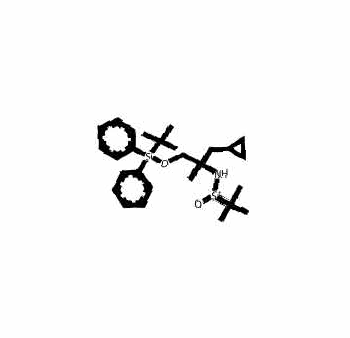 CC(CO[Si](c1ccccc1)(c1ccccc1)C(C)(C)C)(CC1CC1)N[S+]([O-])C(C)(C)C